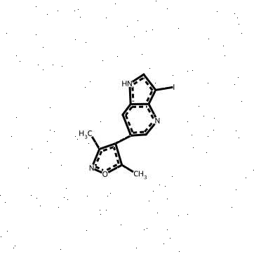 Cc1noc(C)c1-c1cnc2c(I)c[nH]c2c1